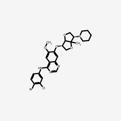 COc1cc2c(Nc3ccc(Br)c(Cl)c3)ncnc2cc1O[C@@H]1COC2(C)C1OC[C@H]2N1CCCCC1